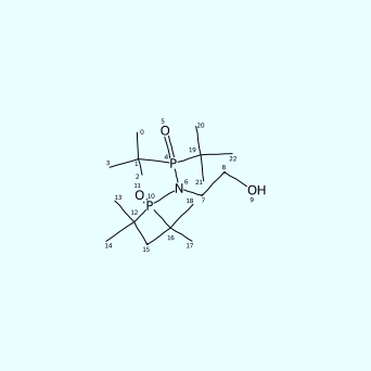 CC(C)(C)P(=O)(N(CCO)P1(=O)C(C)(C)CC1(C)C)C(C)(C)C